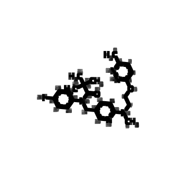 Cc1ccc(OCCN(C)c2ccc(CN(C(=O)C(C)(C)C)c3ccc(F)cc3)cn2)nn1